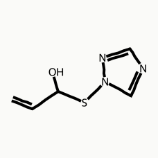 C=CC(O)Sn1cncn1